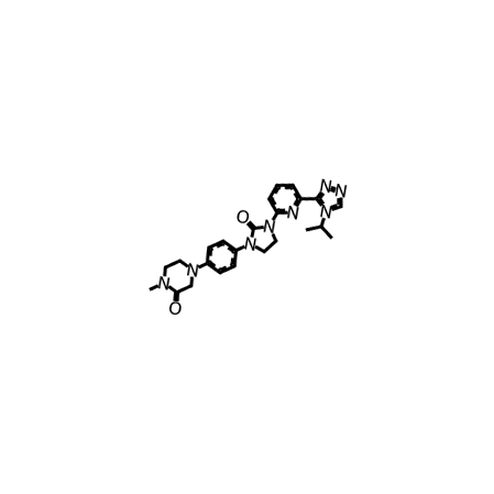 CC(C)n1cnnc1-c1cccc(N2CCN(c3ccc(N4CCN(C)C(=O)C4)cc3)C2=O)n1